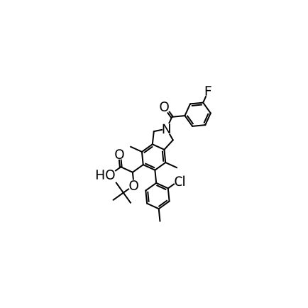 Cc1ccc(-c2c(C)c3c(c(C)c2C(OC(C)(C)C)C(=O)O)CN(C(=O)c2cccc(F)c2)C3)c(Cl)c1